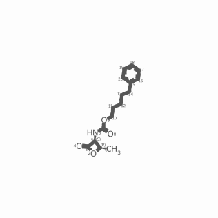 C[C@H]1OC(=O)[C@H]1NC(=O)OCCCCCc1ccccc1